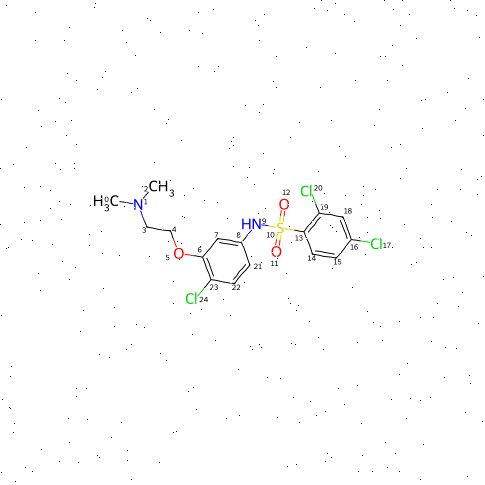 CN(C)CCOc1cc(NS(=O)(=O)c2ccc(Cl)cc2Cl)ccc1Cl